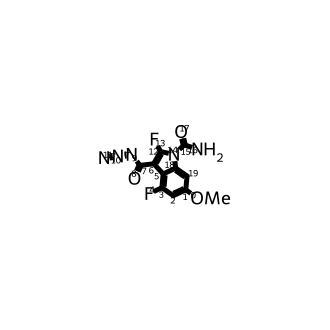 COc1cc(F)c2c(C(=O)N=[N+]=[N-])c(F)n(C(N)=O)c2c1